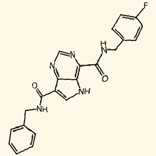 O=C(NCc1ccccc1)c1c[nH]c2c(C(=O)NCc3ccc(F)cc3)ncnc12